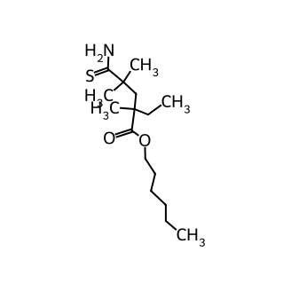 CCCCCCOC(=O)C(C)(CC)CC(C)(C)C(N)=S